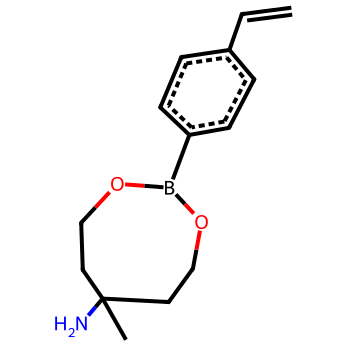 C=Cc1ccc(B2OCCC(C)(N)CCO2)cc1